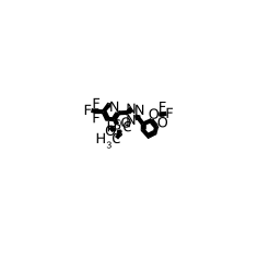 CCS(=O)(=O)c1cc(C(F)(F)F)cnc1-c1nnc(-c2cccc3c2OC(F)(F)O3)n1C